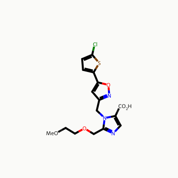 COCCOCc1ncc(C(=O)O)n1Cc1cc(-c2ccc(Cl)s2)on1